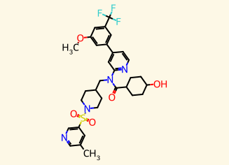 COc1cc(-c2ccnc(N(CC3CCN(S(=O)(=O)c4cncc(C)c4)CC3)C(=O)C3CCC(O)CC3)c2)cc(C(F)(F)F)c1